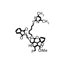 COC(=O)C1=C(CF)NC(COCCN2C(=O)c3ccccc3C2=O)=C(C(=O)OCCCCCCSc2nc(C)cc(C)n2)C1c1ccccc1Cl